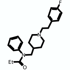 CCC(=O)N(CC1CCN(CCc2ccc(F)cc2)CC1)c1ccccc1